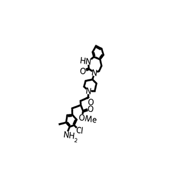 COC(=O)C(CC(=O)N1CCC(N2CCc3ccccc3NC2=O)CC1)Cc1cc(C)c(N)c(Cl)c1